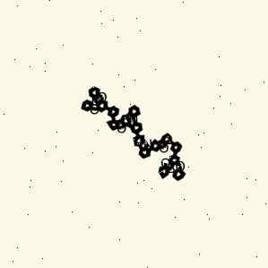 c1cc(-c2cc3c4c(c2)Oc2ccccc2B4c2ccccc2O3)cc(-c2cccc3c2oc2cc4c5cccc6c7ccc(-c8ccc9c(c8)c8c%10oc%11cccc(-c%12cccc(-c%13cc%14c%15c(c%13)Oc%13ccccc%13B%15c%13ccccc%13O%14)c%12)c%11c%10cc%10c%11ccccc%11n9c%108)cc7n(c4cc23)c65)c1